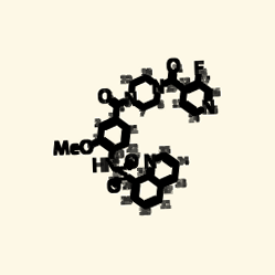 COc1cc(C(=O)N2CCN(C(=O)c3ccncc3F)CC2)ccc1NS(=O)(=O)c1cccc2cccnc12